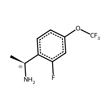 C[C@H](N)c1ccc(OC(F)(F)F)cc1F